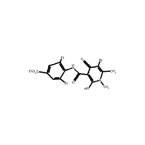 CCCc1c(C(=O)Nc2c(CC)cc(C(=O)OCC)cc2CC)c(=O)c(Br)c(C)n1C